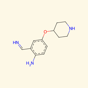 N=Cc1cc(OC2CCNCC2)ccc1N